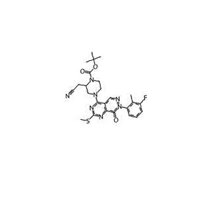 CSc1nc(N2CCN(C(=O)OC(C)(C)C)C(CC#N)C2)c2cnn(-c3cccc(F)c3C)c(=O)c2n1